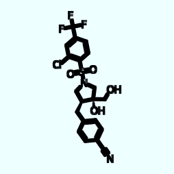 N#Cc1ccc(C[C@H]2CN(S(=O)(=O)c3ccc(C(F)(F)F)cc3Cl)C[C@@]2(O)CO)cc1